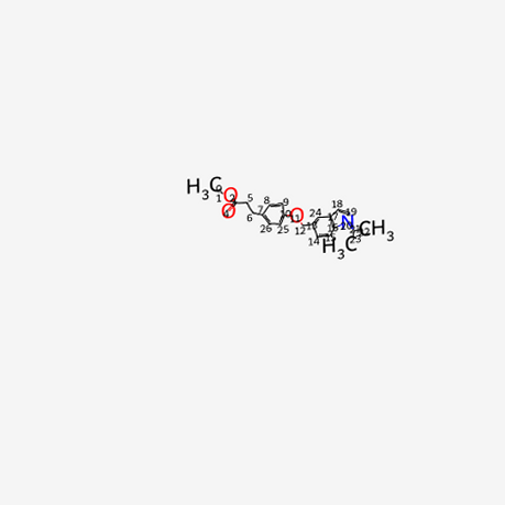 CCOC(=O)CCc1ccc(OCc2ccc3c(ccn3C(C)C)c2)cc1